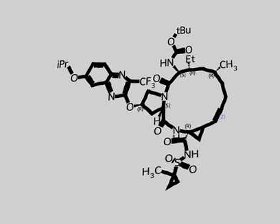 CC[C@@H]1C[C@H](C)CC/C=C\C2C[C@@]2(C(=O)NS(=O)(=O)C2(C)CC2)NC(=O)[C@@H]2C[C@@H](Oc3nc4cc(OC(C)C)ccc4nc3C(F)(F)F)CN2C(=O)[C@H]1NC(=O)OC(C)(C)C